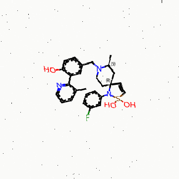 Cc1cccnc1-c1cc(CN2CC[C@]3(C=CS(O)(O)N3c3cccc(F)c3)C[C@@H]2C)ccc1O